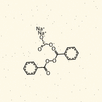 O=C(OOC(=O)c1ccccc1)c1ccccc1.O=S([O-])[O-].[Na+].[Na+]